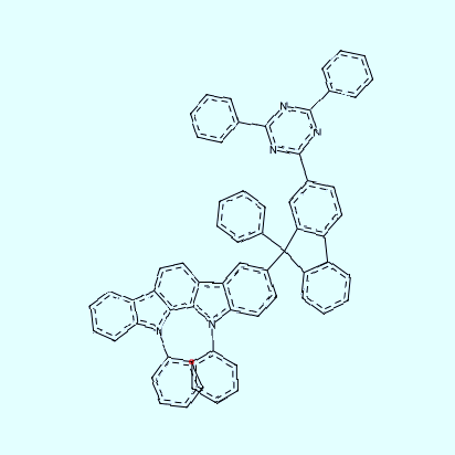 c1ccc(-c2nc(-c3ccccc3)nc(-c3ccc4c(c3)C(c3ccccc3)(c3ccc5c(c3)c3ccc6c7ccccc7n(-c7ccccc7)c6c3n5-c3ccccc3)c3ccccc3-4)n2)cc1